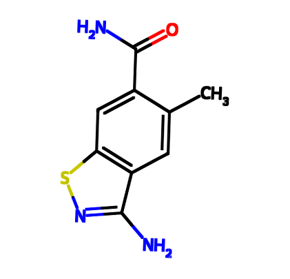 Cc1cc2c(N)nsc2cc1C(N)=O